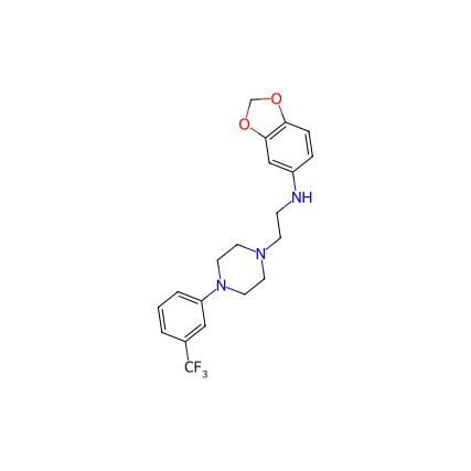 FC(F)(F)c1cccc(N2CCN(CCNc3ccc4c(c3)OCO4)CC2)c1